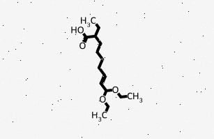 CCOC(/C=C/CCCCC(CC)C(=O)O)OCC